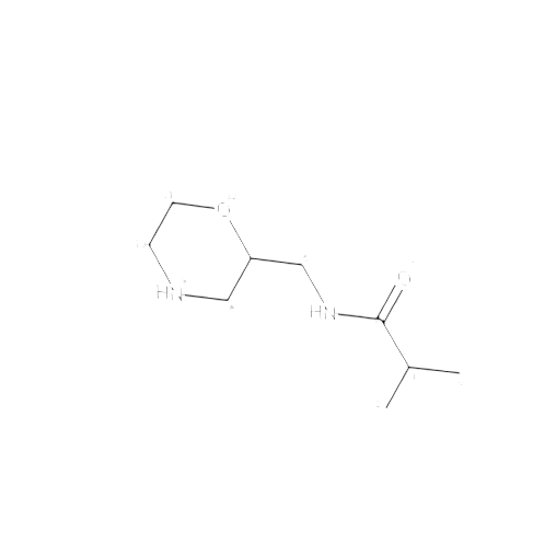 CC(C)C(=O)NCC1CNCCO1